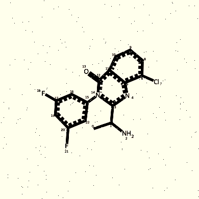 CC(N)c1nc2c(Cl)cccc2c(=O)n1-c1cc(F)cc(F)c1